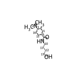 CN(C)c1ccc(C(=O)NCCCCO)cc1